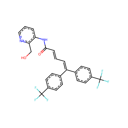 O=C(C=CC=C(c1ccc(C(F)(F)F)cc1)c1ccc(C(F)(F)F)cc1)Nc1cccnc1CO